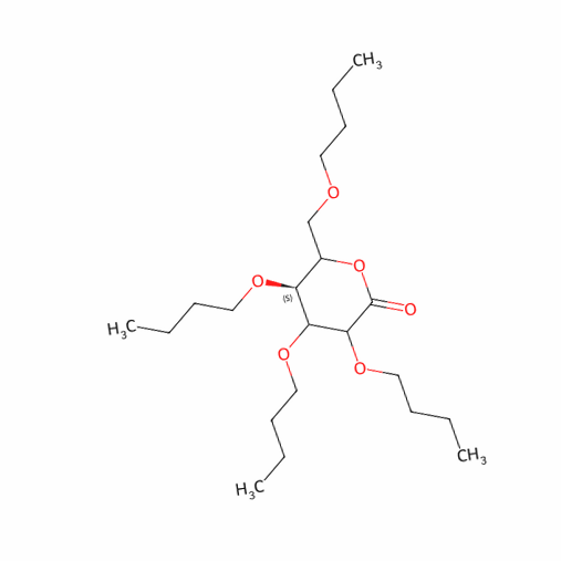 CCCCOCC1OC(=O)C(OCCCC)C(OCCCC)[C@H]1OCCCC